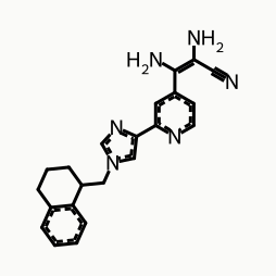 N#C/C(N)=C(/N)c1ccnc(-c2cn(CC3CCCc4ccccc43)cn2)c1